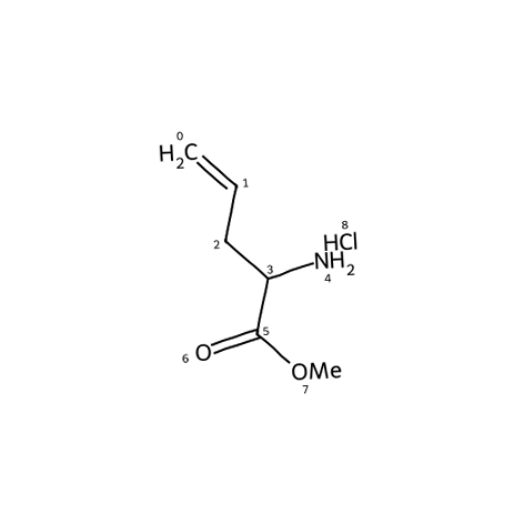 C=CCC(N)C(=O)OC.Cl